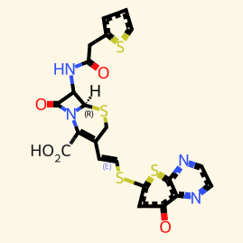 O=C(Cc1cccs1)NC1C(=O)N2C(C(=O)O)=C(/C=C/Sc3cc(=O)c4nccnc4s3)CS[C@H]12